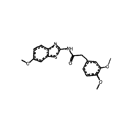 COc1ccc2nc(NC(=O)Cc3ccc(OC)c(OC)c3)sc2c1